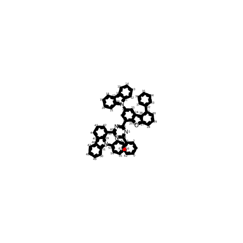 c1ccc(-c2nc(-c3cc(-n4c5ccccc5c5ccccc54)cc4c3oc3cccc(-c5ccccc5)c34)nc(-c3cccc4c5ccccc5n(-c5ccccc5)c34)n2)cc1